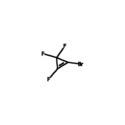 FC1=C(Br)C1(F)F